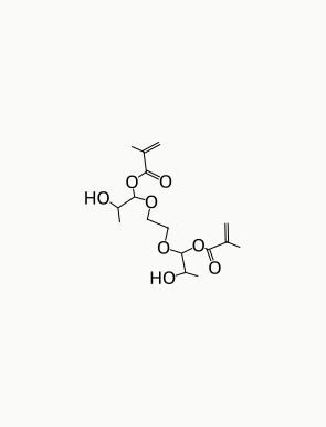 C=C(C)C(=O)OC(OCCOC(OC(=O)C(=C)C)C(C)O)C(C)O